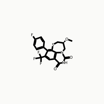 CO[C@@H]1CSc2c(-c3ccc(F)cc3)c(C(F)(F)F)cc3c(=O)[nH]c(=O)n(c23)C1